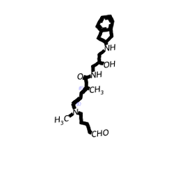 C/C(=C\C=C\N(C)CCCCC=O)C(=O)NCC(O)CNC1Cc2ccccc2C1